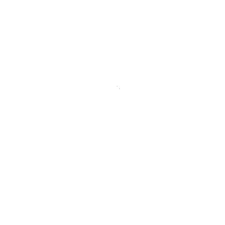 O=Nc1ccc(O)cc1O